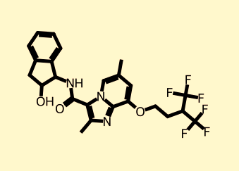 Cc1cc(OCCC(C(F)(F)F)C(F)(F)F)c2nc(C)c(C(=O)NC3c4ccccc4CC3O)n2c1